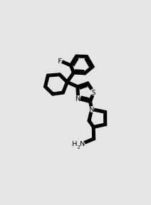 NCC1CCN(c2nc(C3(c4ccccc4F)CCCCC3)cs2)C1